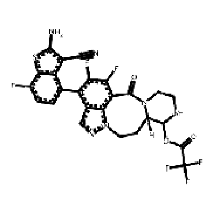 N#Cc1c(N)sc2c(F)ccc(-c3c(F)c(F)c4c5c3cnn5CC[C@H]3C(OC(=O)C(F)(F)F)NCCN3C4=O)c12